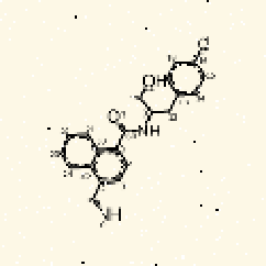 N=Cc1ccc(C(=O)NC(CO)Cc2ccc(Cl)cc2)c2ccccc12